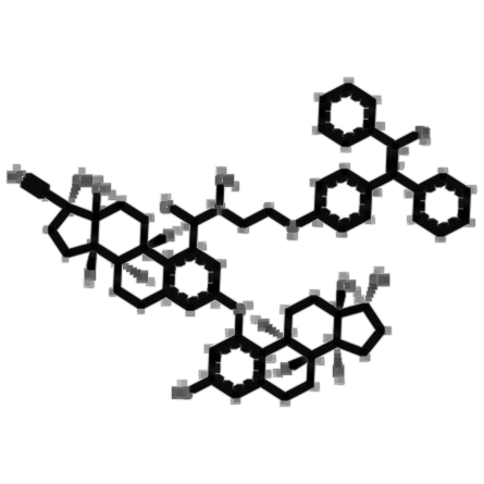 C#C[C@]1(O)CC[C@H]2[C@@H]3CCc4cc(Oc5cc(O)cc6c5[C@H]5CC[C@]7(C)[C@H](O)CC[C@H]7[C@@H]5CC6)cc(C(Cl)N(C)CCOc5ccc(/C(=C(/CC)c6ccccc6)c6ccccc6)cc5)c4[C@H]3CCC21C